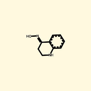 ON=C1CCNc2ccccc21